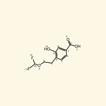 O=C(O)c1ccc(CCOC(F)F)c(O)c1